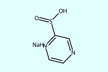 O=S(O)c1cnccn1.[NaH]